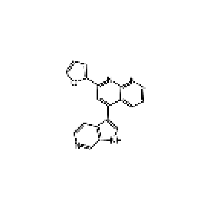 c1coc(-c2cc(-c3c[nH]c4cnccc34)c3cccnc3n2)c1